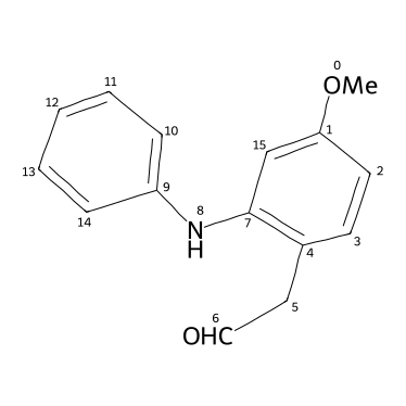 COc1ccc(CC=O)c(Nc2ccccc2)c1